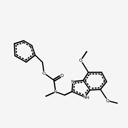 COc1ccc(OC)c2[nH]c(CN(C)C(=O)OCc3ccccc3)nc12